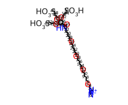 [N-]=[N+]=NCCOCCCCCCOCCCCCCOCCCCCCOCCCCCCNC(=O)c1cc(OCCCS(=O)(=O)O)c(OCCCS(=O)(=O)O)c(OCCCS(=O)(=O)O)c1